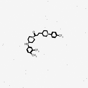 Cc1ccc(NC2CCN(C(=O)CCC3CCN(c4ccc(C(F)(F)F)cc4)CC3)CC2)cc1C(F)(F)F